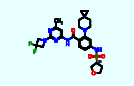 Cc1cc(NC(=O)c2ccc(NS(=O)(=O)[C@@H]3CCOC3)cc2N2CCC3(CC2)CC3)nc(N2CC(F)(F)C2)n1